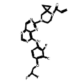 C=CC(=O)N1CCN(c2ncc3ncnc(Nc4ccc(OCC(F)F)c(Cl)c4F)c3n2)CC12CC2